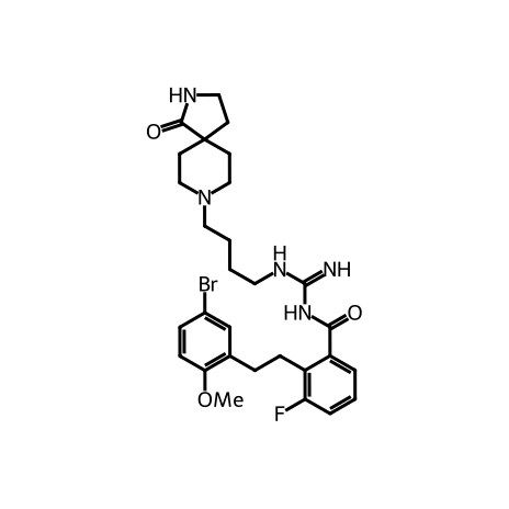 COc1ccc(Br)cc1CCc1c(F)cccc1C(=O)NC(=N)NCCCCN1CCC2(CCNC2=O)CC1